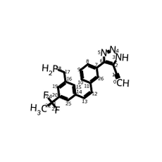 C#Cc1[nH]nnc1-c1cccc(/C=C\c2cc(CP)cc(C(C)(F)F)c2)c1